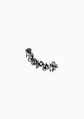 O=C(NC[C@H]1CN(c2ccc(N3CCON(C(=O)CNCc4cnoc4)CC3)c(F)c2)C(=O)O1)C(F)F